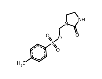 Cc1ccc(S(=O)(=O)OCN2CCNC2=O)cc1